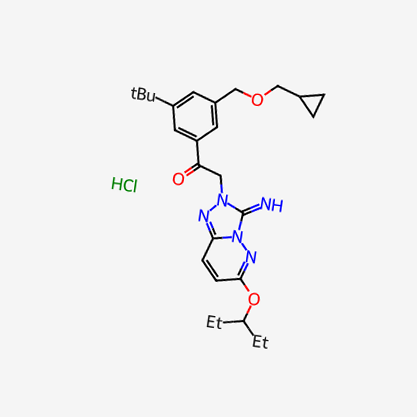 CCC(CC)Oc1ccc2nn(CC(=O)c3cc(COCC4CC4)cc(C(C)(C)C)c3)c(=N)n2n1.Cl